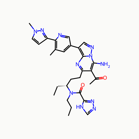 CCCN(C(=O)c1nnc[nH]1)[C@H](CC)CCc1nc2c(-c3cnc(-c4ccn(C)n4)c(C)c3)cnn2c(N)c1C(C)=O